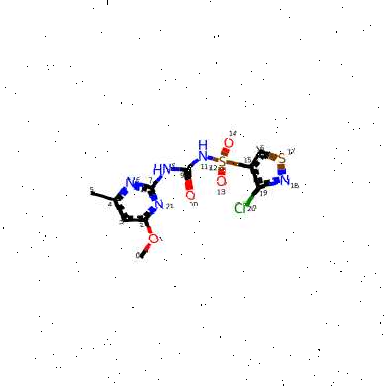 COc1cc(C)nc(NC(=O)NS(=O)(=O)c2csnc2Cl)n1